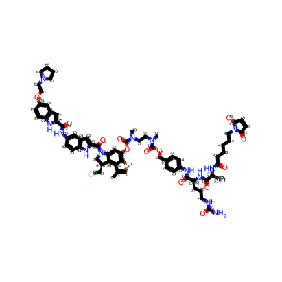 Cc1csc2c(OC(=O)N(C)CCN(C)C(=O)OCc3ccc(NC(=O)[C@H](CCCNC(N)=O)NC(=O)C(NC(=O)CCCCCN4C(=O)C=CC4=O)C(C)C)cc3)cc3c(c12)[C@@H](CCl)CN3C(=O)c1cc2cc(NC(=O)c3cc4cc(OCCN5CCCC5)ccc4[nH]3)ccc2[nH]1